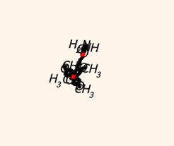 COc1ccc(C(OC)(c2ccc(OC)cc2)c2ccc(OC)c(CCCCCOC(=O)NN)c2)cc1